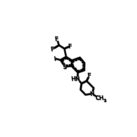 CN1CCC(Nc2cccc3c(C(F)C(F)F)c(I)sc23)C(F)C1